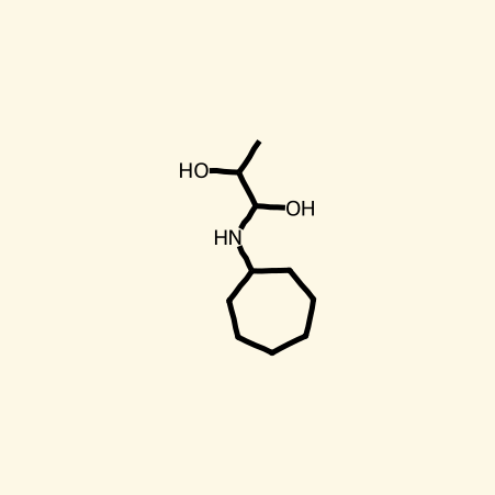 CC(O)C(O)NC1CCCCCC1